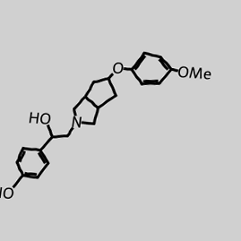 COc1ccc(OC2CC3CN(CC(O)c4ccc(O)cc4)CC3C2)cc1